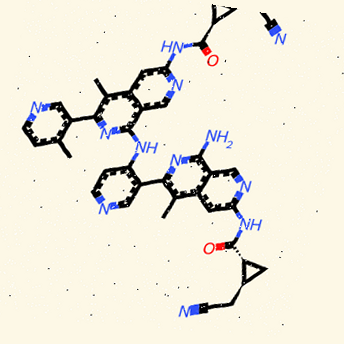 Cc1ccncc1-c1nc(Nc2ccncc2-c2nc(N)c3cnc(NC(=O)[C@@H]4C[C@H]4CC#N)cc3c2C)c2cnc(NC(=O)[C@H]3C[C@@H]3CC#N)cc2c1C